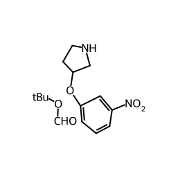 CC(C)(C)OC=O.O=[N+]([O-])c1cccc(OC2CCNC2)c1